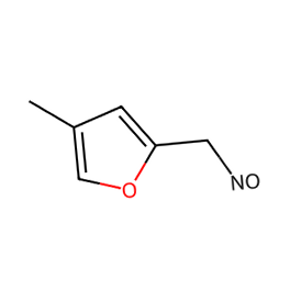 Cc1coc(CN=O)c1